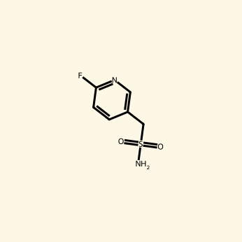 NS(=O)(=O)Cc1ccc(F)nc1